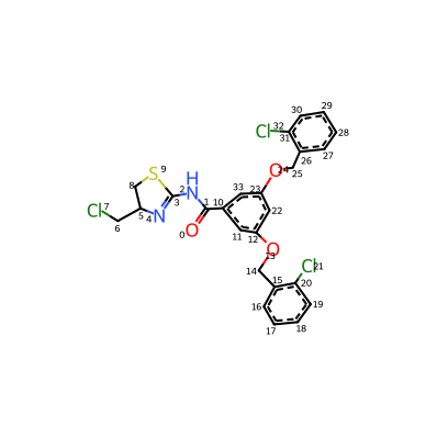 O=C(NC1=NC(CCl)CS1)c1cc(OCc2ccccc2Cl)cc(OCc2ccccc2Cl)c1